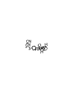 N#Cc1csc(Sc2ccc(C(=O)N[C@@H]3C[C@H]4CC[C@@H]3N4)cc2)n1